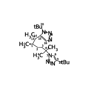 C[C@H](CCC(C)(C)n1cc(C(C)(C)C)nn1)[C@H](C)c1cnnn1C(C)(C)C